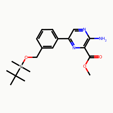 COC(=O)c1nc(-c2cccc(CO[Si](C)(C)C(C)(C)C)c2)cnc1N